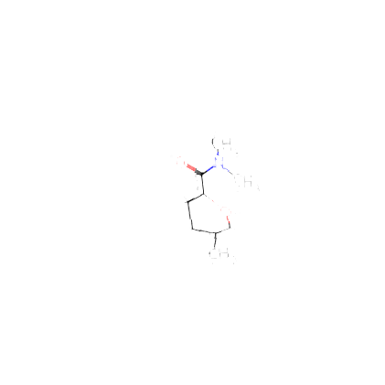 CC1CCC(C(=O)N(C)C)OC1